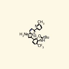 C=C(/C=C\c1nc(-c2ccc(C(F)(F)F)c(NC(=O)C(C)(C)C)c2)cn1N)c1cccc(C)n1